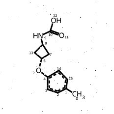 Cc1ccc(OC2CC(NC(=O)O)C2)cc1